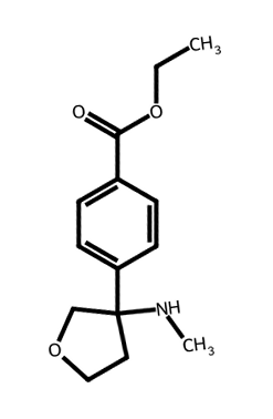 CCOC(=O)c1ccc(C2(NC)CCOC2)cc1